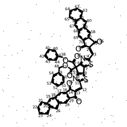 O=C1C(=Cc2nc3c(s2)-c2sc(C=C4C(=O)c5cc6cc7ccccc7cc6cc5C4=O)nc2C3(C(=O)OCc2ccccc2)C(=O)OCc2ccccc2)C(=O)c2cc3cc4ccccc4cc3cc21